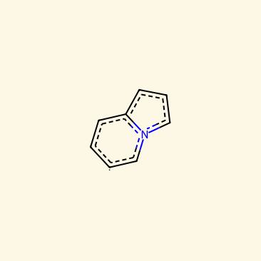 [c]1ccc2cccn2c1